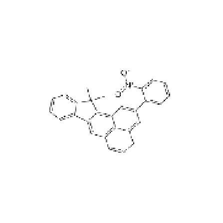 CC1(C)c2ccccc2-c2cc3c4c(cc(-c5ccccc5[N+](=O)[O-])cc4c21)CC=C3